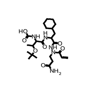 C=CC(=O)N(CCC(N)=O)NC(=O)C(CC1CCCCC1)NC(=O)C(NC(=O)O)C(C)OC(C)(C)C